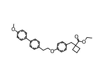 CCOC(=O)C1(Cc2ccc(OCCc3ccc(-c4ccc(OC)cc4)cc3)cc2)CCC1